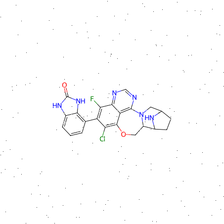 O=c1[nH]c2cccc(-c3c(Cl)c4c5c(ncnc5c3F)N3CC5CCC(N5)C3CO4)c2[nH]1